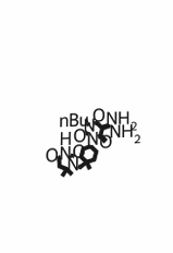 CCCCN1C(=O)C(=C(N)N)C(=O)N(C2CCC(C)(CN3C(=O)NC(=O)CC3(C)C)CC2)C1=O